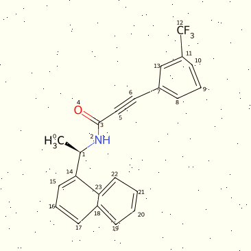 C[C@@H](NC(=O)C#Cc1cccc(C(F)(F)F)c1)c1cccc2ccccc12